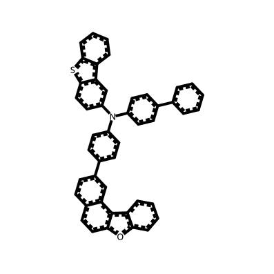 c1ccc(-c2ccc(N(c3ccc(-c4ccc5ccc6oc7ccccc7c6c5c4)cc3)c3ccc4sc5ccccc5c4c3)cc2)cc1